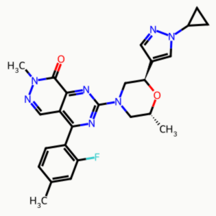 Cc1ccc(-c2nc(N3C[C@@H](C)O[C@H](c4cnn(C5CC5)c4)C3)nc3c(=O)n(C)ncc23)c(F)c1